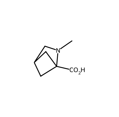 CN1CC2CC1(C(=O)O)C2